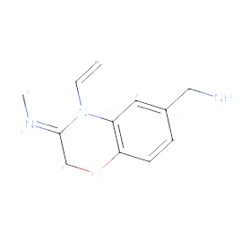 C=CN1/C(=N\C)COc2ccc(CN)cc21